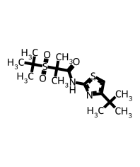 CC(C)(C)c1csc(NC(=O)C(C)(C)S(=O)(=O)C(C)(C)C)n1